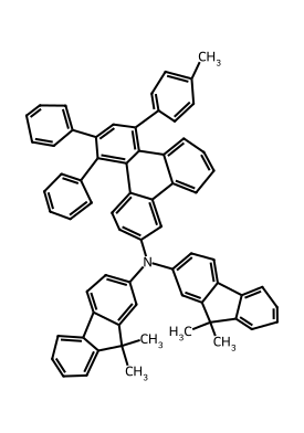 Cc1ccc(-c2cc(-c3ccccc3)c(-c3ccccc3)c3c4ccc(N(c5ccc6c(c5)C(C)(C)c5ccccc5-6)c5ccc6c(c5)C(C)(C)c5ccccc5-6)cc4c4ccccc4c23)cc1